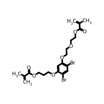 C=C(C)C(=O)OCCCOc1cc(OCCOCCOC(=O)C(=C)C)c(Br)cc1Br